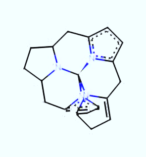 C1=C2Cc3ccc4n3[C@@]35N2C(C1)Cc1ccc(n13)CC1CCC(C4)N15